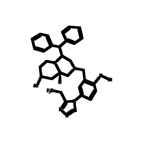 CCOc1ccc(-n2nnnc2CC(F)(F)F)cc1CN1CC(C(c2ccccc2)c2ccccc2)N2CCN(C(C)=O)C[C@H]2C1